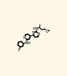 COCCC(C)Nc1nccc(-c2ccnc(Nc3cccc(F)c3)c2)n1